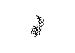 CC=O.CCC(C)(C)C(=O)CC(=O)OC.CCC(C)(C)C(=O)CC(=O)OC.[O]=[Ti]